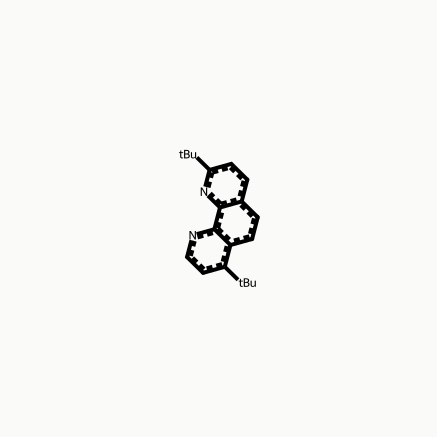 CC(C)(C)c1ccc2ccc3c(C(C)(C)C)ccnc3c2n1